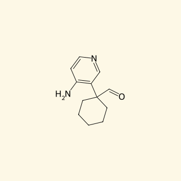 Nc1ccncc1C1(C=O)CCCCC1